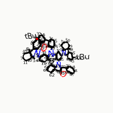 CC(C)(C)c1ccc2c(c1)C1(C)CCCCC1(C)N2c1ccc2c(c1)N(c1cccc3c1oc1ccccc13)c1cc(N3c4ccc(C(C)(C)C)cc4C4(C)CCCCC34C)cc3c1B2c1cccc2c4oc5ccccc5c4n-3c12